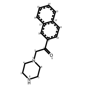 O=C(CN1CCNCC1)c1ccc2ccccc2c1